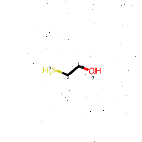 OCC[SH3]